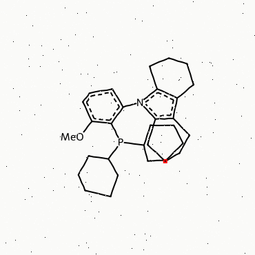 COc1cccc(-n2c3c(c4c2CCCC4)CCCC3)c1P(C1CCCCC1)C1CCCCC1